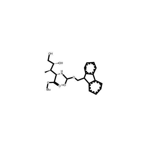 C[C@H]([C@H](NC(O)OCC1c2ccccc2-c2ccccc21)C(=O)OC(C)(C)C)[C@@H](O)CO